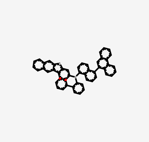 c1ccc(-c2ccccc2N(c2ccc3c(c2)sc2cc4ccccc4cc23)c2cccc3c(-c4cc5ccccc5c5ccccc45)cccc23)cc1